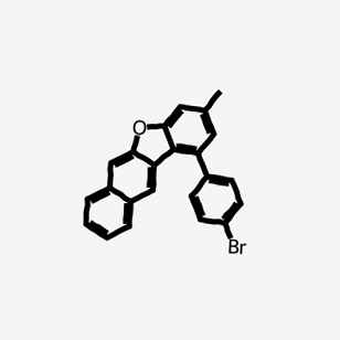 Cc1cc(-c2ccc(Br)cc2)c2c(c1)oc1cc3ccccc3cc12